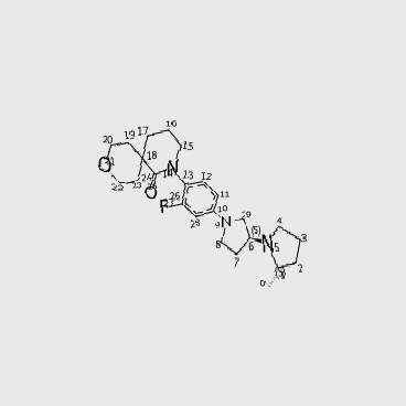 C[C@H]1CCCN1[C@H]1CCN(c2ccc(N3CCCC4(CCOCC4)C3=O)c(F)c2)C1